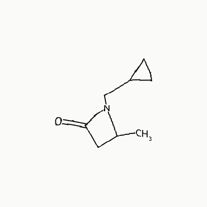 CC1CC(=O)N1CC1CC1